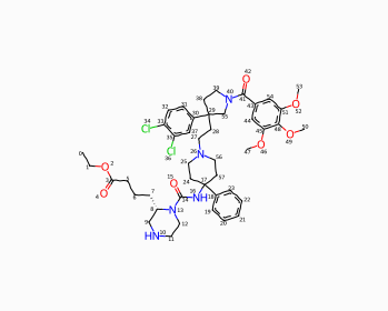 CCOC(=O)CCC[C@H]1CNCCN1C(=O)NC1(c2ccccc2)CCN(CCC2(c3ccc(Cl)c(Cl)c3)CCN(C(=O)c3cc(OC)c(OC)c(OC)c3)C2)CC1